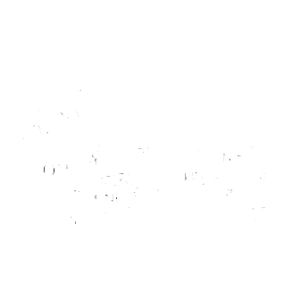 NC1(C(=O)N2CCO[C@@H](C3=C4C=NC=C[N+]4(N)C(c4ccc(C(=O)Nc5cc(C(F)(F)F)ccn5)cc4)=N3)C2)CCC1